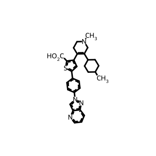 CC1CCC(C2=C(c3cc(-c4ccc(-n5cc6ncccc6n5)cc4)sc3C(=O)O)CCN(C)C2)CC1